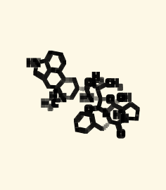 CC(C)[C@@]1(NC(=O)[C@H]2C=C3c4cccc5[nH]cc(c45)C[C@H]3N(C)C2)O[C@@]2(O)[C@@H]3CCCN3C(=O)[C@H](Cc3ccccc3)N2C1=O